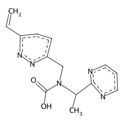 C=Cc1ccc(CN(C(=O)O)C(C)c2ncccn2)nn1